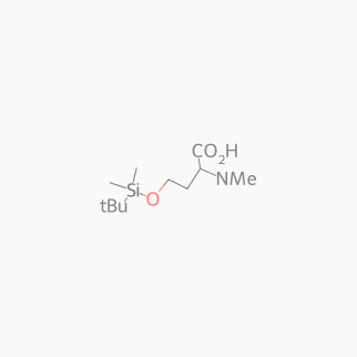 CNC(CCO[Si](C)(C)C(C)(C)C)C(=O)O